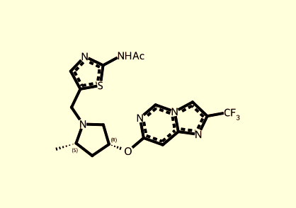 CC(=O)Nc1ncc(CN2C[C@H](Oc3cc4nc(C(F)(F)F)cn4cn3)C[C@@H]2C)s1